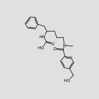 CN(CCCC(Cc1ccccc1)NC(=O)O)C(=O)c1ccc(CO)cn1